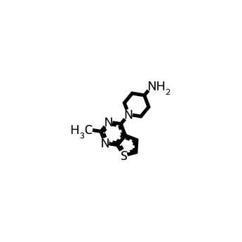 Cc1nc(N2CCC(N)CC2)c2ccsc2n1